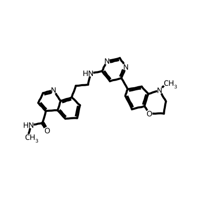 CNC(=O)c1ccnc2c(CCNc3cc(-c4ccc5c(c4)N(C)CCO5)ncn3)cccc12